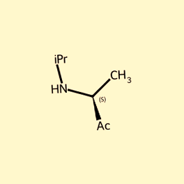 CC(=O)[C@H](C)NC(C)C